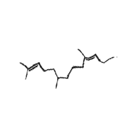 [CH2]CC=C(C)CCCC(C)CCC=C(C)C